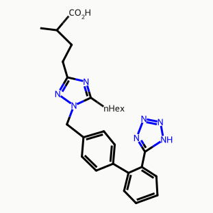 CCCCCCc1nc(CCC(C)C(=O)O)nn1Cc1ccc(-c2ccccc2-c2nnn[nH]2)cc1